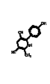 CC1=C(C#N)CC(C#N)=C(c2ccc(O)cc2)N1